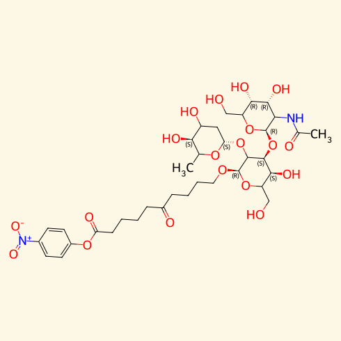 CC(=O)NC1[C@@H](O[C@@H]2C(O[C@H]3CC(O)[C@H](O)C(C)O3)[C@H](OCCCCC(=O)CCCCC(=O)Oc3ccc([N+](=O)[O-])cc3)OC(CO)[C@@H]2O)OC(CO)[C@H](O)[C@@H]1O